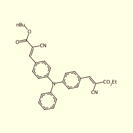 CCCCOC(=O)/C(C#N)=C/c1ccc(N(c2ccccc2)c2ccc(/C=C(\C#N)C(=O)OCC)cc2)cc1